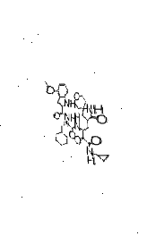 COc1cccc2[nH]c(C(=O)N[C@@H](CC3CCCCC3)C(=O)NC(CC3CC4(CCOCC4)NC3=O)C(=O)C(=O)NC3CC3)cc12